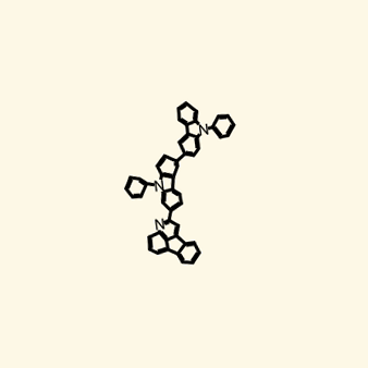 c1ccc(-n2c3ccccc3c3cc(-c4ccc5c(c4)c4ccc(-c6cc7c8c(cccc8n6)-c6ccccc6-7)cc4n5-c4ccccc4)ccc32)cc1